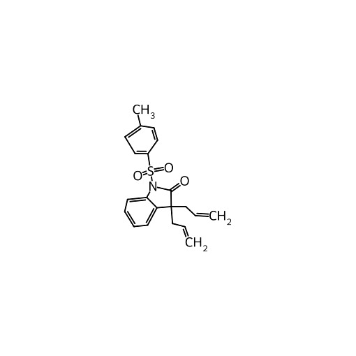 C=CCC1(CC=C)C(=O)N(S(=O)(=O)c2ccc(C)cc2)c2ccccc21